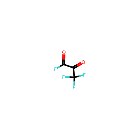 O=C(F)C(=O)C(F)(F)F